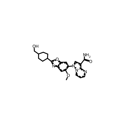 COc1cc2nc(C3CCC(CO)CC3)oc2cc1-n1cc(C(N)=O)c2nccc[n+]21